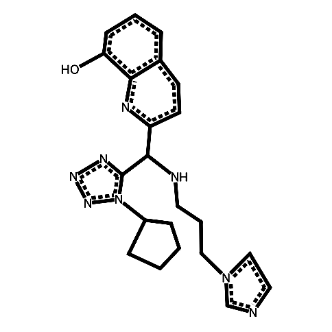 Oc1cccc2ccc(C(NCCCn3ccnc3)c3nnnn3C3CCCC3)nc12